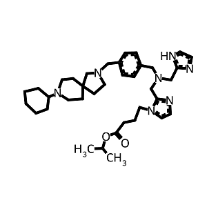 CC(C)OC(=O)CCCn1ccnc1CN(Cc1ccc(CN2CCC3(CCN(C4CCCCC4)CC3)C2)cc1)Cc1ncc[nH]1